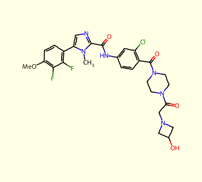 COc1ccc(-c2cnc(C(=O)Nc3ccc(C(=O)N4CCN(C(=O)CN5CC(O)C5)CC4)c(Cl)c3)n2C)c(F)c1F